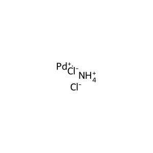 [Cl-].[Cl-].[NH4+].[Pd+]